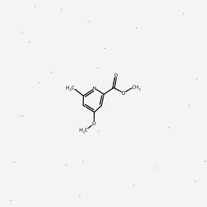 COC(=O)c1cc(OC)cc(C)n1